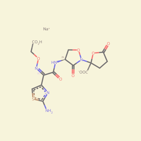 Nc1nc(/C(=N/OCC(=O)O)C(=O)N[C@H]2CON(C3(C(=O)[O-])CCC(=O)O3)C2=O)cs1.[Na+]